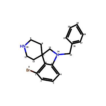 Brc1cccc2c1C1(CCNCC1)CN2Cc1ccccc1